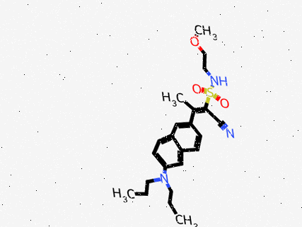 CCCN(CCC)c1ccc2cc(/C(C)=C(\C#N)S(=O)(=O)NCCOC)ccc2c1